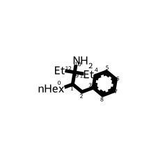 CCCCCCC(Cc1ccccc1)C(N)(CC)CC